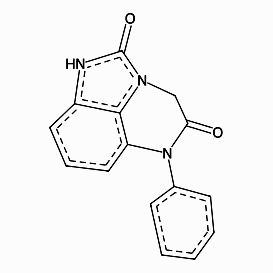 O=C1Cn2c(=O)[nH]c3cccc(c32)N1c1ccccc1